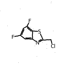 Fc1cc(F)c2sc(CCl)nc2c1